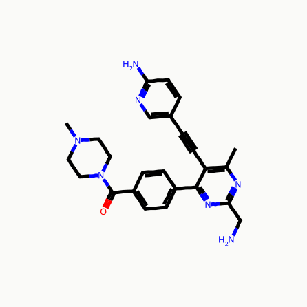 Cc1nc(CN)nc(-c2ccc(C(=O)N3CCN(C)CC3)cc2)c1C#Cc1ccc(N)nc1